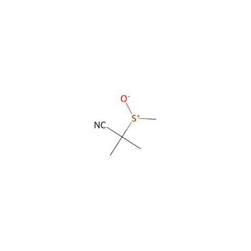 C[S+]([O-])C(C)(C)C#N